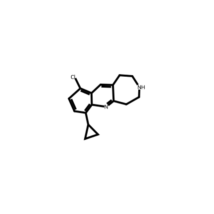 Clc1ccc(C2CC2)c2nc3c(cc12)CCNCC3